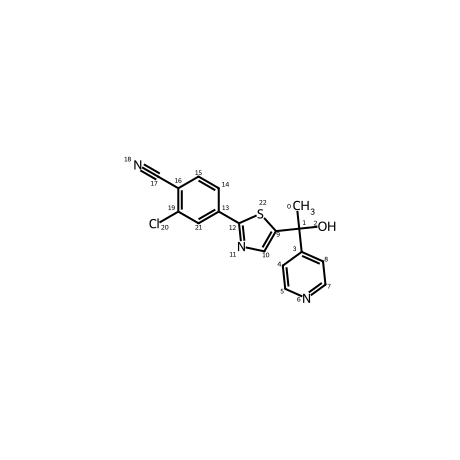 CC(O)(c1ccncc1)c1cnc(-c2ccc(C#N)c(Cl)c2)s1